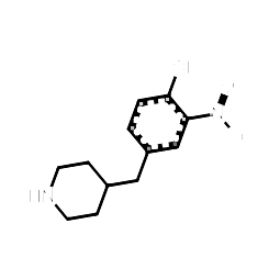 O=[N+]([O-])c1cc(CC2CCNCC2)ccc1O